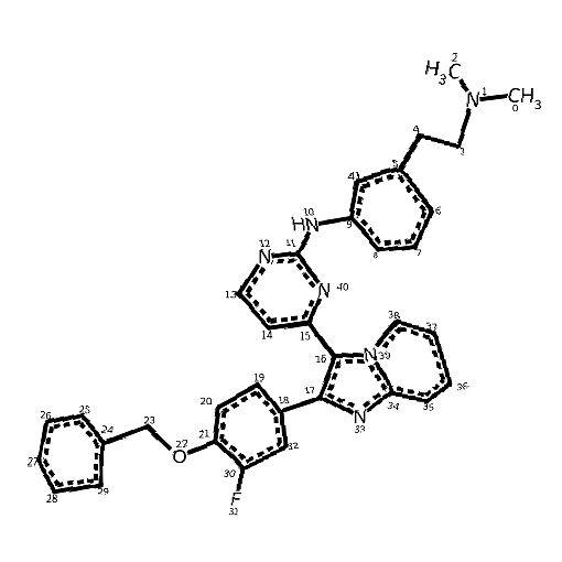 CN(C)CCc1cccc(Nc2nccc(-c3c(-c4ccc(OCc5ccccc5)c(F)c4)nc4ccccn34)n2)c1